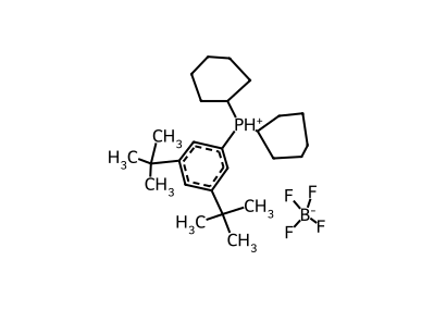 CC(C)(C)c1cc([PH+](C2CCCCC2)C2CCCCC2)cc(C(C)(C)C)c1.F[B-](F)(F)F